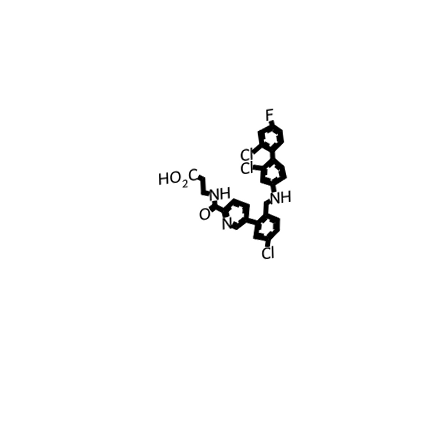 O=C(O)CCNC(=O)c1ccc(-c2cc(Cl)ccc2CNc2ccc(-c3ccc(F)cc3Cl)c(Cl)c2)cn1